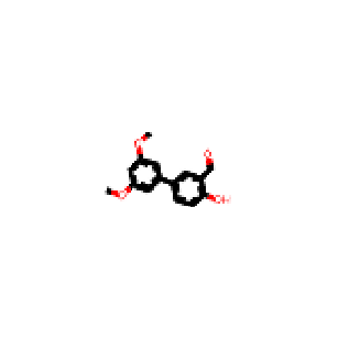 COc1cc(OC)cc(-c2ccc(O)c(C=O)c2)c1